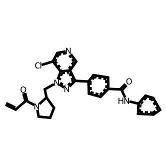 C=CC(=O)N1CCCC1Cn1nc(-c2ccc(C(=O)Nc3ccccc3)cc2)c2cncc(Cl)c21